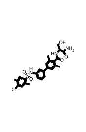 Cc1cc(S(=O)(=O)Nc2cccc(-c3cc(C)c(C(=O)NC(CO)C(N)=O)c(C)c3)c2)c(C)cc1Cl